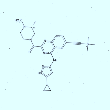 C[C@@H]1CN(C(=O)c2nc(Nc3cc(C4CC4)[nH]n3)c3cc(C#C[Si](C)(C)C)ccc3n2)CCN1C(=O)O